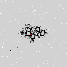 O=C(O)C(Cc1ccccc1)(Oc1ccc(Cl)cc1-c1nc2ccccc2o1)c1cccc(C(F)(F)F)c1